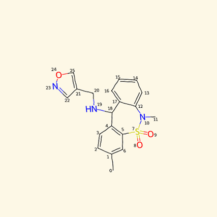 Cc1ccc2c(c1)S(=O)(=O)N(C)c1ccccc1C2NCc1cnoc1